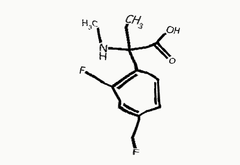 CNC(C)(C(=O)O)c1ccc(F)cc1F